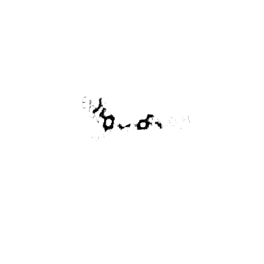 CCCc1cc(-c2nc(OCC)c(C)s2)ccc1OCCCOc1ccc2c(ccn2[C@@H](C)C(=O)O)c1